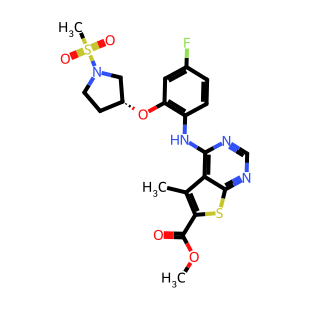 COC(=O)c1sc2ncnc(Nc3ccc(F)cc3O[C@@H]3CCN(S(C)(=O)=O)C3)c2c1C